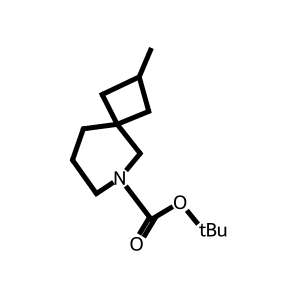 CC1CC2(CCCN(C(=O)OC(C)(C)C)C2)C1